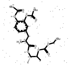 CC(OC(=O)OCC(C)(C)C)[C@H](C)OC(=O)[C@@H](N)Cc1ccc(OC(=O)C(C)(C)C)c(OC(=O)C(C)(C)C)c1